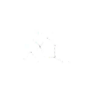 C=C1OC(F)(F)C(F)(C(F)(F)F)S1